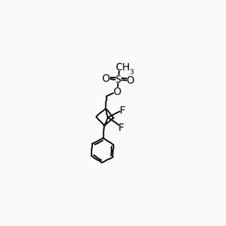 CS(=O)(=O)OCC12CC(c3ccccc3)(C1)C2(F)F